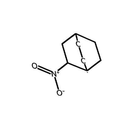 O=[N+]([O-])C1CC2CC[C]1CC2